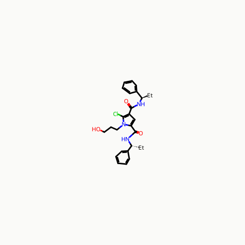 CC[C@@H](NC(=O)c1cc(C(=O)N[C@H](CC)c2ccccc2)n(CCCO)c1Cl)c1ccccc1